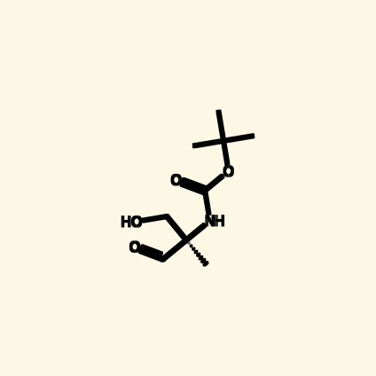 CC(C)(C)OC(=O)N[C@@](C)(C=O)CO